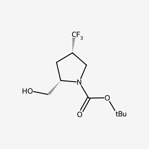 CC(C)(C)OC(=O)N1C[C@@H](C(F)(F)F)C[C@H]1CO